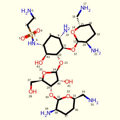 NCCS(=O)(=O)N[C@@H]1C[C@H](N)[C@@H](O[C@H]2O[C@H](CN)CC[C@H]2N)[C@H](O[C@@H]2O[C@H](CO)[C@@H](O[C@H]3O[C@@H](CN)CC[C@H]3N)[C@H]2O)[C@H]1O